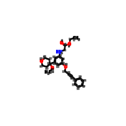 CCOC(=O)CNc1cc(OCC#Cc2ccccc2)cc(C2(OC)CCOCC2)c1